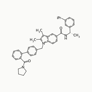 Cc1c(C)n(Cc2ccc(-c3ccccc3C(=O)N3CCCC3)cc2)c2ccc(C(=O)N[C@@H](C)c3cccc(C(C)C)c3)cc12